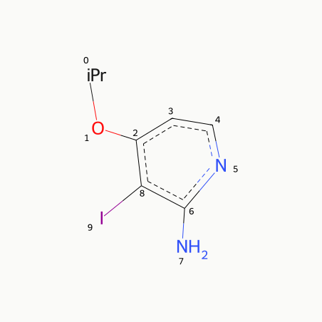 CC(C)Oc1ccnc(N)c1I